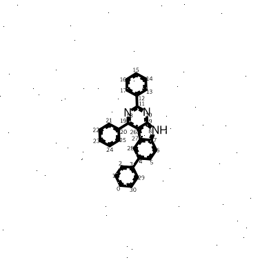 c1ccc(-c2ccc3[nH]c4nc(-c5ccccc5)nc(-c5ccccc5)c4c3c2)cc1